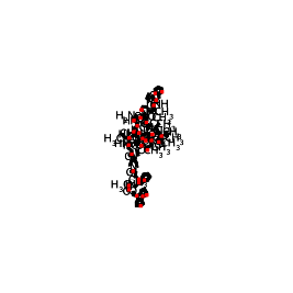 CC[C@H](C)[C@H](OC(=O)N(C)[C@H](C(=O)N[C@H](C(=O)N(C)C[C@@H](CC(=O)N1CCC[C@H]1[C@H](OC)[C@@H](C)C(=O)N[C@@H](Cc1ccccc1)c1nccs1)OC)C(C)C)C(C)C)c1ccc(NC(=O)[C@H](CCCNC(N)=O)NC(=O)[C@@H](NC(=O)CCC(=O)N(CCOCCOCCC(=O)O)C2CCN(C(=O)CCn3c(CN(C)N(C)C(=O)OCC4c5ccccc5-c5ccccc54)cc4ccccc43)CC2)C(C)C)cc1